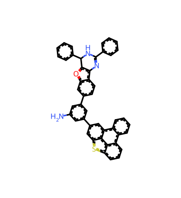 Nc1cc(-c2ccc3c4c(oc3c2)C(c2ccccc2)NC(c2ccccc2)=N4)cc(-c2cc3sc4cccc5c6ccccc6c(c2)c3c45)c1